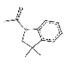 CC(=O)N1CC(C)(C)c2cc[c]cc21